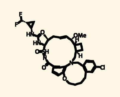 CO[C@H]1/C=C/C[C@H](C)C(NC(=O)N[C@@H]2C[C@H]2C(F)F)/[SH](=O)=N\C(=O)c2ccc3c(c2)N(Cc2ccc(Cl)cc2CCCCO3)C[C@@H]2CC[C@H]21